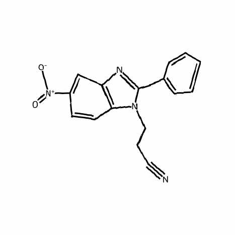 N#CCCn1c(-c2ccccc2)nc2cc([N+](=O)[O-])ccc21